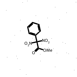 COC(=O)C(c1ccccc1)([N+](=O)[O-])[N+](=O)[O-]